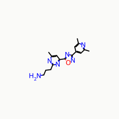 Cc1cc(-c2noc(-c3cc(C)nc(CCCN)n3)n2)cc(C)n1